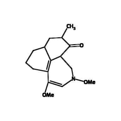 COC1=CN(OC)CC2C(=O)C(C)CC3CCCC1=C32